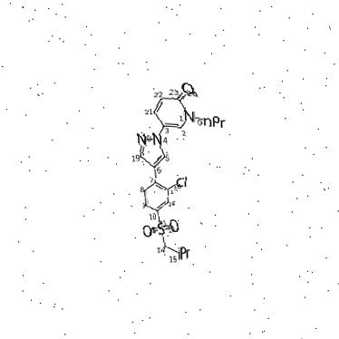 CCCn1cc(-n2cc(-c3ccc(S(=O)(=O)CC(C)C)cc3Cl)cn2)ccc1=O